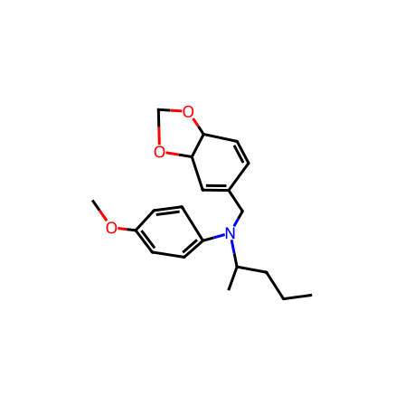 CCCC(C)N(CC1=CC2OCOC2C=C1)c1ccc(OC)cc1